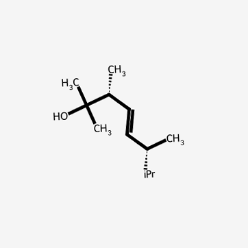 CC(C)[C@@H](C)/C=C/[C@@H](C)C(C)(C)O